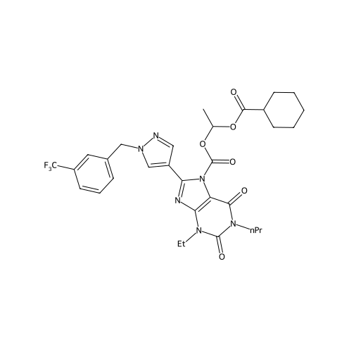 CCCn1c(=O)c2c(nc(-c3cnn(Cc4cccc(C(F)(F)F)c4)c3)n2C(=O)OC(C)OC(=O)C2CCCCC2)n(CC)c1=O